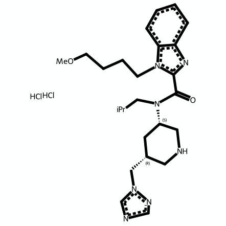 COCCCCn1c(C(=O)N(CC(C)C)[C@@H]2CNC[C@H](Cn3cncn3)C2)nc2ccccc21.Cl.Cl